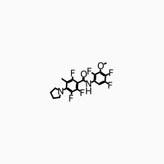 COc1c(F)c(F)cc(NC(=O)c2c(F)c(C)c(N3CCCC3)c(F)c2F)c1F